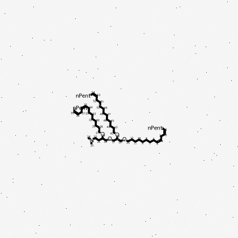 CCCCC/C=C\C/C=C\CCCCCCCCOCC(COCC(CCN(C)C)OCCCCCCCC/C=C\C/C=C\CCCCC)OCCCCCCCCCCC/C=C\CCCCC